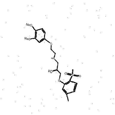 COc1ccc(OCCNCC(O)COc2cc(C)ccc2S(C)(=O)=O)cc1OC